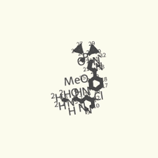 [2H]C([2H])([2H])NC(=O)c1nncc(Cl)c1Nc1cccc(-c2cc(P(=O)(C3CC3)C3CC3)n(C)n2)c1OC